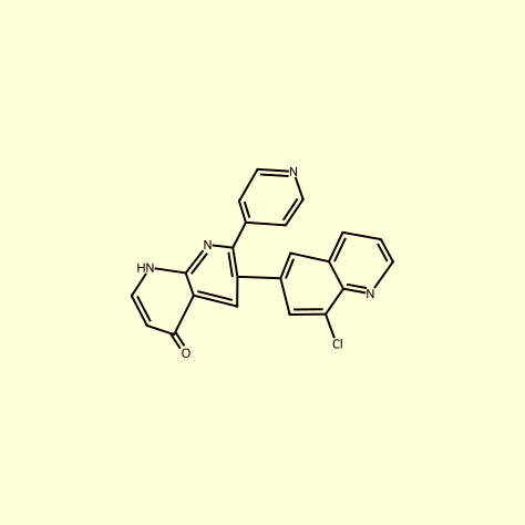 O=c1cc[nH]c2nc(-c3ccncc3)c(-c3cc(Cl)c4ncccc4c3)cc12